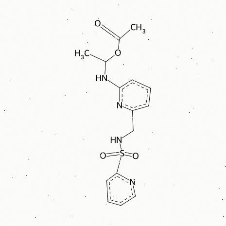 CC(=O)OC(C)Nc1cccc(CNS(=O)(=O)c2ccccn2)n1